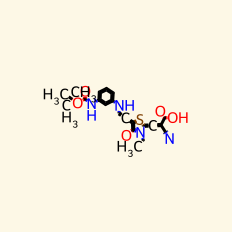 CCn1c(=C=C(C#N)C(=O)O)sc(=C=CNc2cccc(NC(=O)OC(C)(C)C)c2)c1=O